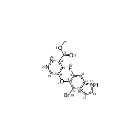 COC(=O)c1cc(Oc2c(F)cc3[nH]ccc3c2Br)cnn1